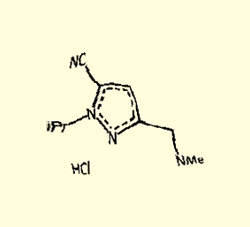 CNCc1cc(C#N)n(C(C)C)n1.Cl